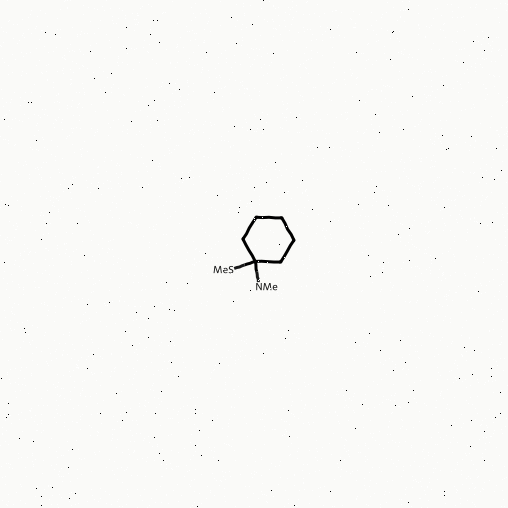 CNC1(SC)CCCCC1